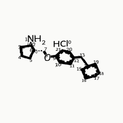 Cl.N[C@H]1CCC[C@H]1COc1ccc(Cc2ccccc2)cc1